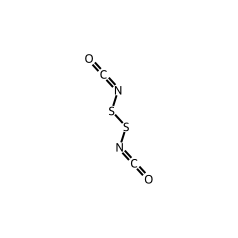 O=C=NSSN=C=O